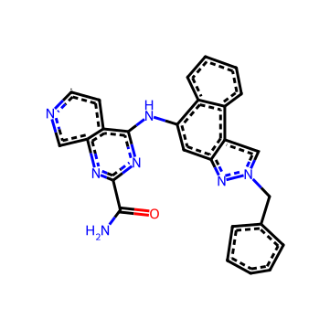 NC(=O)c1nc(Nc2cc3nn(Cc4ccccc4)cc3c3ccccc23)c2c[c]ncc2n1